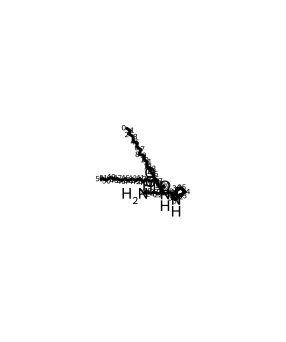 CCCCCCCCCCCCCCOCC(CNC(=O)C(CCCCN)NCc1c[nH]c2ccccc12)OCCCCCCCCCCCCCC